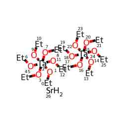 CC[O][Ta]([O]CC)([O]CC)([O]CC)([O]CC)[O]CC.CC[O][Ta]([O]CC)([O]CC)([O]CC)([O]CC)[O]CC.[SrH2]